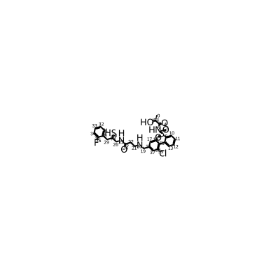 C[C@H](O)C(=O)NS(=O)(=O)c1ccccc1-c1ccc(CNCCC(=O)NC[C@H](S)Cc2ccccc2F)cc1Cl